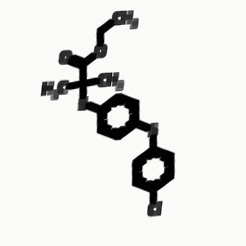 CCOC(=O)C(C)(C)Sc1ccc(Sc2ccc(Cl)cc2)cc1